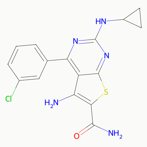 NC(=O)c1sc2nc(NC3CC3)nc(-c3cccc(Cl)c3)c2c1N